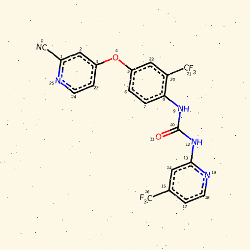 N#Cc1cc(Oc2ccc(NC(=O)Nc3cc(C(F)(F)F)ccn3)c(C(F)(F)F)c2)ccn1